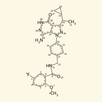 COc1ccc(F)cc1C(=O)NCc1ccc(-n2nc(C(C)C3CC3)c3c(=O)[nH]nc(N)c32)cc1